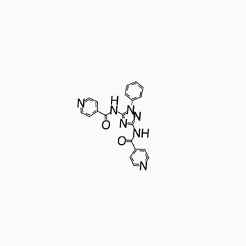 O=C(Nc1nc(NC(=O)c2ccncc2)n(-c2ccccc2)n1)c1ccncc1